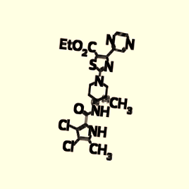 CCOC(=O)c1sc(N2CC[C@@H](NC(=O)c3[nH]c(C)c(Cl)c3Cl)[C@@H](C)C2)nc1-c1cnccn1